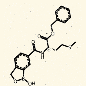 CSCC[C@H](NC(=O)c1ccc2c(c1)B(O)OC2)C(=O)OCc1ccccc1